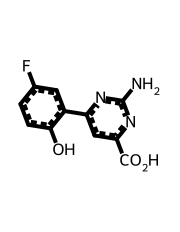 Nc1nc(C(=O)O)cc(-c2cc(F)ccc2O)n1